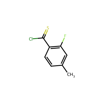 Cc1ccc(C(=S)Cl)c(F)c1